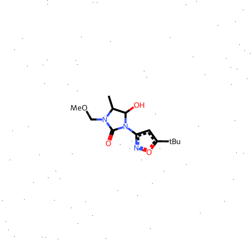 COCN1C(=O)N(c2cc(C(C)(C)C)on2)C(O)C1C